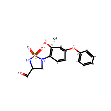 O=CC1CN(c2ccc(Oc3ccccc3)cc2O)S(=O)(=O)N1.[KH]